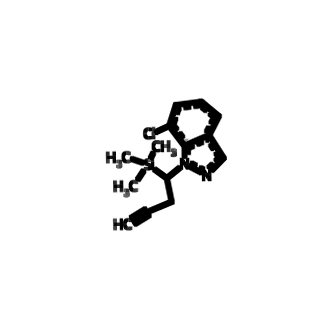 C#CCC(n1ncc2cccc(Cl)c21)[Si](C)(C)C